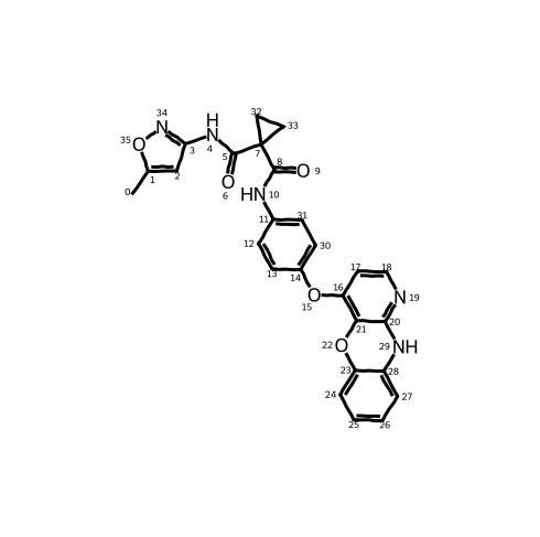 Cc1cc(NC(=O)C2(C(=O)Nc3ccc(Oc4ccnc5c4Oc4ccccc4N5)cc3)CC2)no1